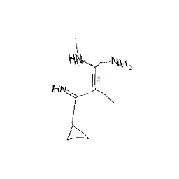 CN/C(N)=C(/C)C(=N)C1CC1